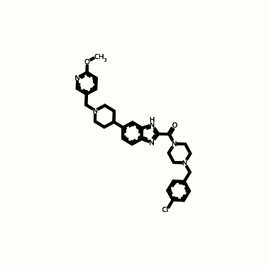 COc1ccc(CN2CCC(c3ccc4nc(C(=O)N5CCN(Cc6ccc(Cl)cc6)CC5)[nH]c4c3)CC2)cn1